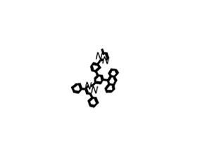 Cc1ccnc(-c2cccc(-c3cc(-c4nc(-c5ccccc5)cc(-c5ccccc5)n4)cc(-c4c5ccccc5cc5ccccc45)c3)c2)n1